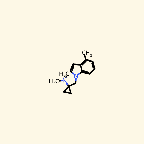 Cc1cccc2c1ccn2CC1(N(C)C)CC1